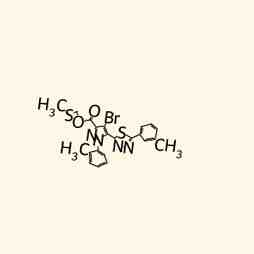 CSCOC(=O)c1nn(-c2ccccc2C)c(-c2nnc(-c3cccc(C)c3)s2)c1Br